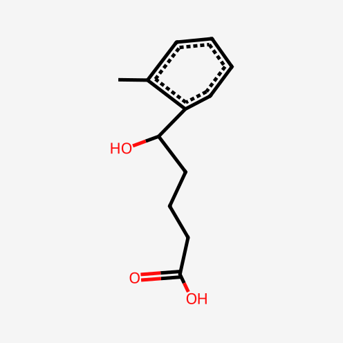 Cc1ccccc1C(O)CCCC(=O)O